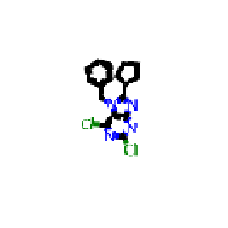 Clc1nc(Cl)c2c(n1)nc(C1CCCC1)n2Cc1ccccc1